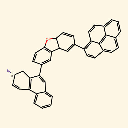 I[C@H]1C=Cc2c(c(-c3ccc4c(c3)C3C=C(c5ccc6ccc7cccc8ccc5c6c78)C=CC3O4)cc3ccccc23)C1